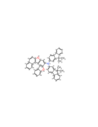 CC1(C)c2ccccc2-c2ccc(N(c3ccc4c(c3)C(C)(C)c3ccccc3-4)c3cc4oc5ccc6ccccc6c5c4c4c3oc3ccccc34)cc21